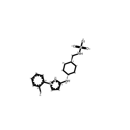 CCS(=O)(=O)NC[C@H]1CC[C@H](Nc2ccn(-c3ccccc3F)n2)CC1